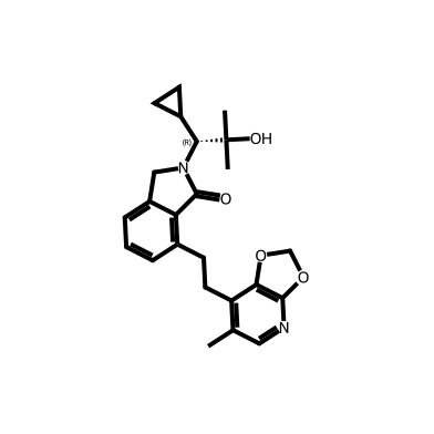 Cc1cnc2c(c1CCc1cccc3c1C(=O)N([C@H](C1CC1)C(C)(C)O)C3)OCO2